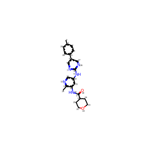 Cc1ccc(-c2cnc(Nc3cnc(C)c(NC(=O)C4CCOCC4)c3)nc2)cc1